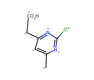 Cc1cc(CC(=O)O)nc(Cl)n1